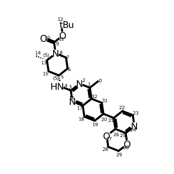 Cc1nc(N[C@H]2CCN(C(=O)OC(C)(C)C)[C@@H](C)C2)nc2ccc(-c3ccnc4c3OCCO4)cc12